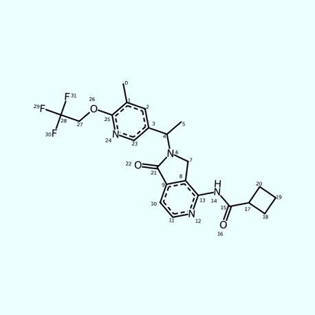 Cc1cc(C(C)N2Cc3c(ccnc3NC(=O)C3CCC3)C2=O)cnc1OCC(F)(F)F